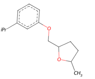 CC1CCC(COc2cccc(C(C)C)c2)O1